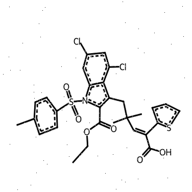 CCOC(=O)c1c(CC(C)(C)/C=C(/C(=O)O)c2cccs2)c2c(Cl)cc(Cl)cc2n1S(=O)(=O)c1ccc(C)cc1